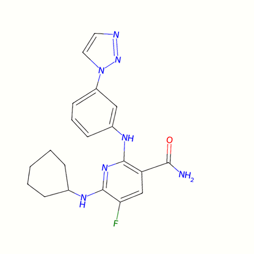 NC(=O)c1cc(F)c(NC2CCCCC2)nc1Nc1cccc(-n2ccnn2)c1